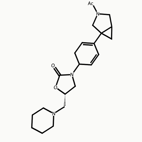 CC(=O)N1CC2CC2(C2=CCC(N3C[C@H](CN4CCCCC4)OC3=O)C=C2)C1